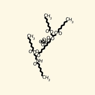 CCCCCCCC(=O)NCC(COC(=O)CCCCCCC)OC(=O)CCCC(CCCC(=O)OC(COC(=O)CCCCCCC)COC(=O)CCCCCCC)OS(C)(=O)=O